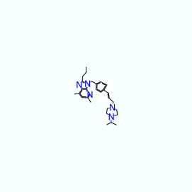 CCCc1nc2c(C)cc(C)nc2n1Cc1ccc(C=CCN2CCN(C(C)C)CC2)cc1